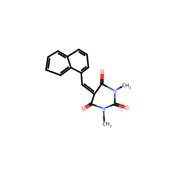 CN1C(=O)C(=Cc2cccc3ccccc23)C(=O)N(C)C1=O